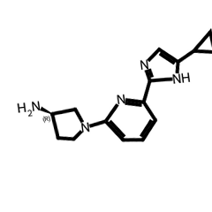 N[C@@H]1CCN(c2cccc(-c3ncc(C4CC4)[nH]3)n2)C1